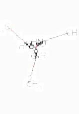 CCCCCCCCCCCCCCCCCC(=O)Nc1ccc(N(c2ccc(NC(=O)CCCCCCCCCCCCCCCCC)cc2)c2ccc(NC(=O)CCCCCCCCCCCCCCCCC)cc2)cc1